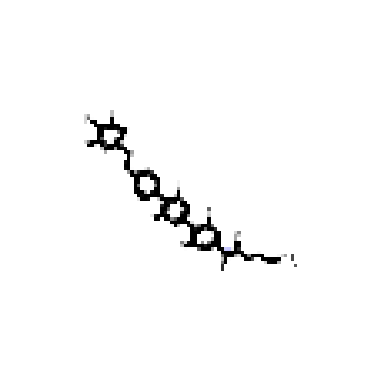 C=CCC/C(F)=C(\F)c1cc(F)c(-c2cc(F)c(-c3ccc(CCc4cc(F)c(F)c(F)c4)cc3)c(F)c2)c(F)c1